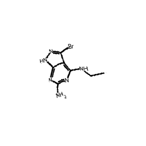 [CH2]CNc1nc(N)nc2[nH]nc(Br)c12